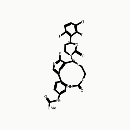 COC(=O)Nc1ccc2c(c1)NC(=O)CCCC[C@H](N1CC[C@@H](c3c(F)ccc(Cl)c3F)OC1=O)c1cc-2cnc1F